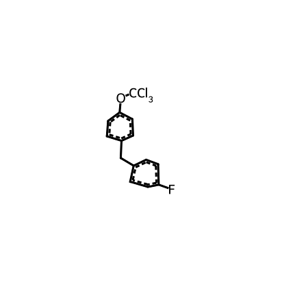 Fc1ccc(Cc2ccc(OC(Cl)(Cl)Cl)cc2)cc1